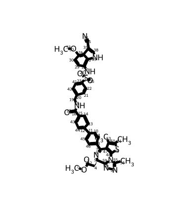 COC(=O)C[C@@H]1N=C(c2ccc(-c3ccc(C(=O)NCc4ccc(S(=O)(=O)Nc5ccc(OC)c6c(C#N)c[nH]c56)cc4)cc3)cc2)c2c(sc(C)c2C)-n2c(C)nnc21